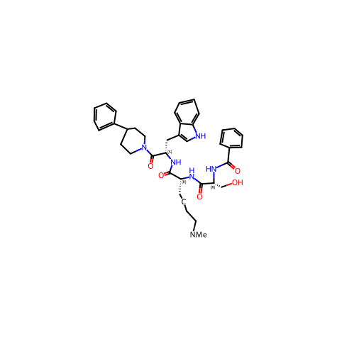 CNCCCC[C@@H](NC(=O)[C@@H](CO)NC(=O)c1ccccc1)C(=O)N[C@@H](Cc1c[nH]c2ccccc12)C(=O)N1CCC(c2ccccc2)CC1